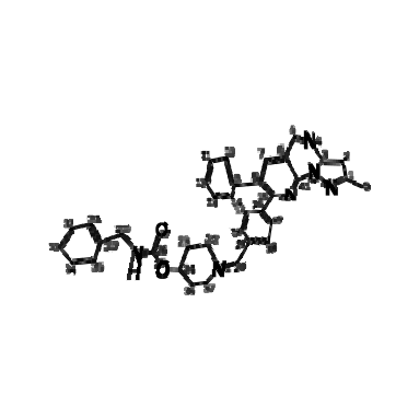 Cc1cc2ncc3cc(-c4ccccc4)c(-c4ccc(CN5CCC(OC(=O)NCc6ccccc6)CC5)cc4)nc3n2n1